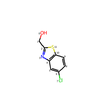 OCc1nc2cc(Cl)ccc2s1